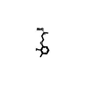 CO[C@H](C)CCOc1cc[c]c(C)c1F